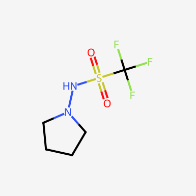 O=S(=O)(NN1CCCC1)C(F)(F)F